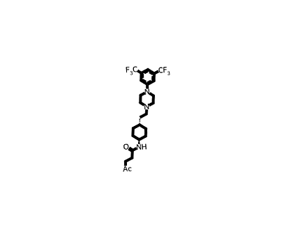 CC(=O)CCC(=O)N[C@H]1CC[C@H](CCN2CCN(c3cc(C(F)(F)F)cc(C(F)(F)F)c3)CC2)CC1